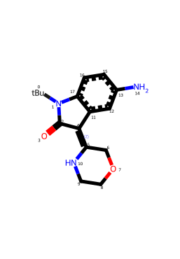 CC(C)(C)N1C(=O)/C(=C2/COCCN2)c2cc(N)ccc21